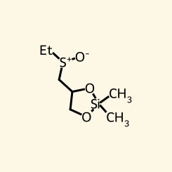 CC[S+]([O-])CC1CO[Si](C)(C)O1